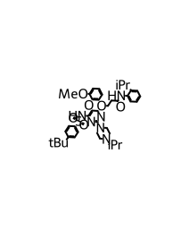 COc1ccccc1Oc1c(NS(=O)(=O)c2ccc(C(C)(C)C)cc2)nc(N2CCN(C(C)C)CC2)nc1OCCC(=O)Nc1ccccc1C(C)C